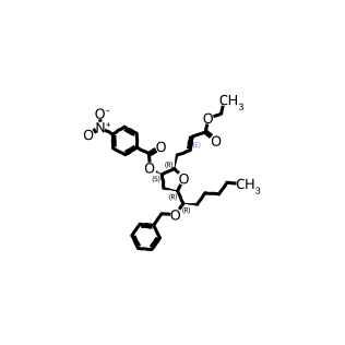 CCCCC[C@@H](OCc1ccccc1)[C@H]1C[C@H](OC(=O)c2ccc([N+](=O)[O-])cc2)[C@@H](C/C=C/C(=O)OCC)O1